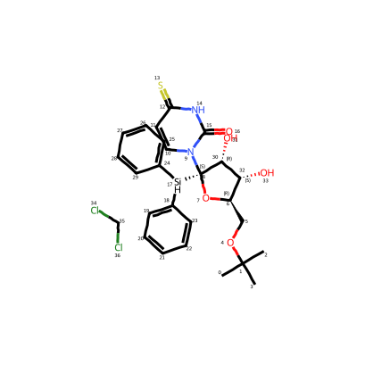 CC(C)(C)OC[C@H]1O[C@](n2ccc(=S)[nH]c2=O)([SiH](c2ccccc2)c2ccccc2)[C@H](O)[C@@H]1O.ClCCl